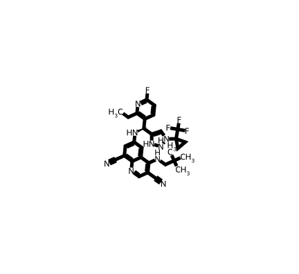 CCc1nc(F)ccc1[C@H](Nc1cc(C#N)c2ncc(C#N)c(NCC(C)(C)C)c2c1)C1=CN(C2(C(F)(F)F)CC2)NN1